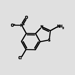 Nc1nc2c([N+](=O)[O-])cc(Cl)cc2s1